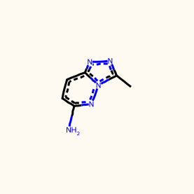 Cc1nnc2ccc(N)nn12